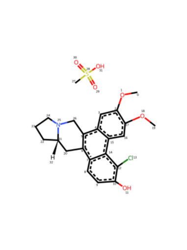 COc1cc2c3c(c4ccc(O)c(Cl)c4c2cc1OC)C[C@@H]1CCCN1C3.CS(=O)(=O)O